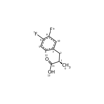 C[C@H](Cc1ccc(F)c(F)c1)C(=O)O